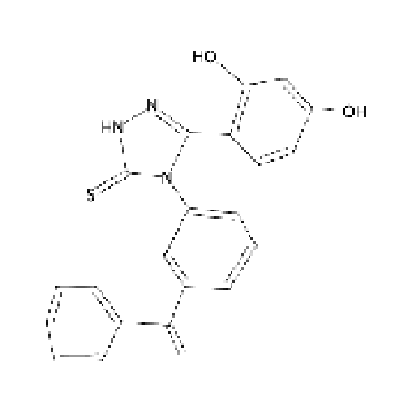 C=C(c1ccccc1)c1cccc(-n2c(-c3ccc(O)cc3O)n[nH]c2=S)c1